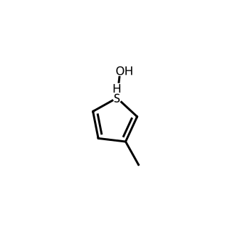 CC1=C[SH](O)C=C1